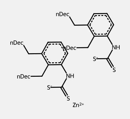 CCCCCCCCCCCc1cccc(NC(=S)[S-])c1CCCCCCCCCCC.CCCCCCCCCCCc1cccc(NC(=S)[S-])c1CCCCCCCCCCC.[Zn+2]